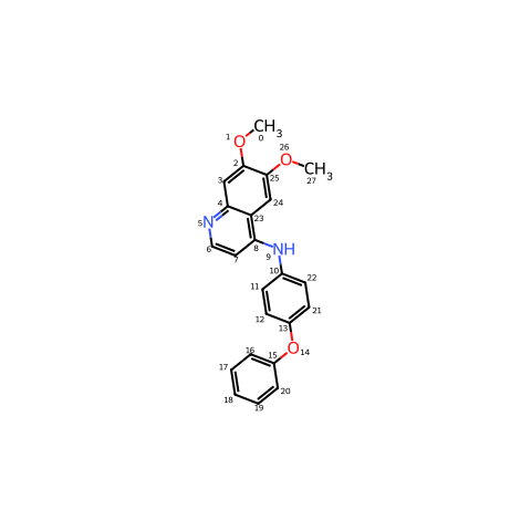 COc1cc2nccc(Nc3ccc(Oc4ccccc4)cc3)c2cc1OC